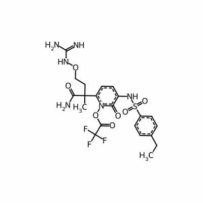 CCc1ccc(S(=O)(=O)Nc2ccc(C(C)(CCONC(=N)N)C(N)=O)n(OC(=O)C(F)(F)F)c2=O)cc1